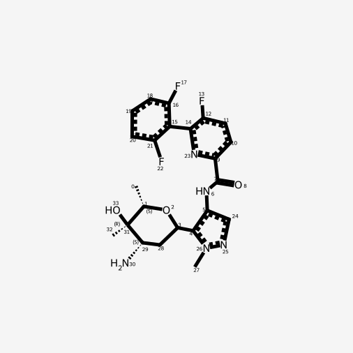 C[C@@H]1OC(c2c(NC(=O)c3ccc(F)c(-c4c(F)cccc4F)n3)cnn2C)C[C@H](N)[C@@]1(C)O